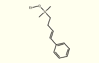 CCO[Si](C)(C)CCC=Cc1ccccc1